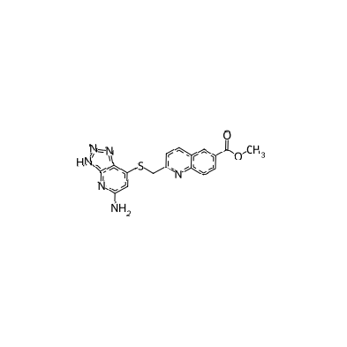 COC(=O)c1ccc2nc(CSc3cc(N)nc4[nH]nnc34)ccc2c1